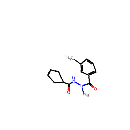 Cc1cccc(C(=O)N(NC(=O)C2CCCC2)C(C)(C)C)c1